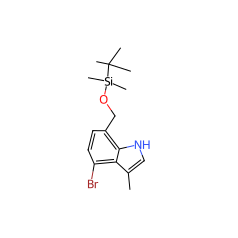 Cc1c[nH]c2c(CO[Si](C)(C)C(C)(C)C)ccc(Br)c12